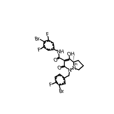 C[C@]12CCCN1N(Cc1ccc(F)c(Br)c1)C(=O)C(C(=O)Nc1cc(F)c(Br)c(F)c1)=C2O